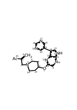 C=C(CN1CCC(Oc2cnc3[nH]cc(-c4cncnc4)c3n2)CC1)C(C)=O